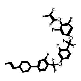 C/C=C/C1CCC(c2ccc(C(F)(F)Oc3ccc(C(F)(F)Oc4cc(F)c(OC(F)=C(F)F)c(F)c4)c(F)c3)c(F)c2)CC1